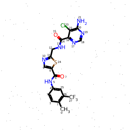 Cc1ccc(NC(=O)c2cnc(CNC(=O)c3ncnc(N)c3Cl)s2)cc1C(F)(F)F